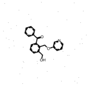 O=C(c1ccccc1)c1cccc(CO)c1COc1cccnc1